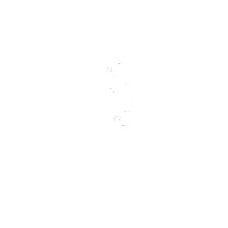 O=C(CC12CC3CC(CC(C3)C1)C2)Nc1cccc2c1CCN(Cc1ccccn1)C2=O